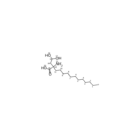 CCCCCCCCCCCCC(N)(CC(O)O)C(=O)O